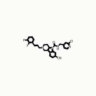 N#Cc1ccc2c3c(n(C(=O)NCc4ccnc(Cl)c4)c2c1)CCN(C/C=C/c1cccc(F)c1F)C3